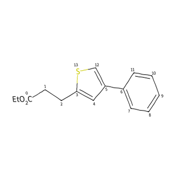 CCOC(=O)CCc1cc(-c2ccccc2)cs1